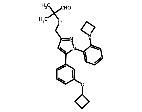 CC(C)(C=O)OCc1cc(-c2cccc(OC3CCC3)c2)n(-c2ccccc2N2CCC2)n1